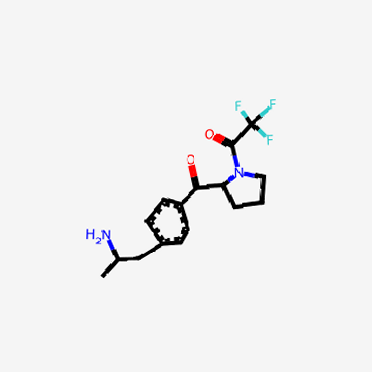 CC(N)Cc1ccc(C(=O)C2CCCN2C(=O)C(F)(F)F)cc1